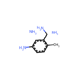 Cc1ccc(N)cc1CN.N.N